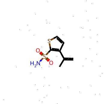 C=C(C)c1ccsc1S(N)(=O)=O